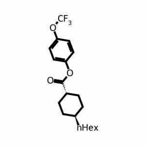 CCCCCC[C@H]1CC[C@H](C(=O)Oc2ccc(OC(F)(F)F)cc2)CC1